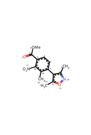 COC(=O)c1ccc(-c2c(C)noc2C)c(C)c1[N+](=O)[O-]